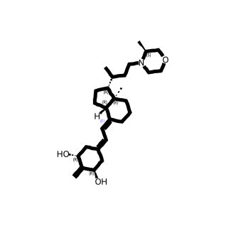 C=C1[C@H](O)CC(=C/C=C2\CCC[C@]3(C)[C@@H](C(C)CCN4CCOC[C@@H]4C)CC[C@@H]23)C[C@H]1O